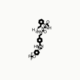 CCCc1ccccc1N1C(=O)CN/C1=N\C(=O)NCCc1ccc(C2N=CN(c3ccc(OC(F)(F)F)cc3)N2)cc1